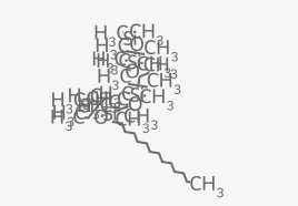 CCCCCCCCCCCCCC[Si](C)(OC(CC)(CC)[Si](C)(C)C)C(C)(C)C(C)(C)O[Si](C)(C)C(CC)(CC)C(CC)O[Si](C)(C)C(CC)(CC)O[Si](C)(C)C